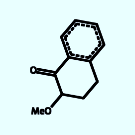 COC1CCc2ccccc2C1=O